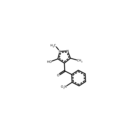 Cc1nn(C)c(O)c1C(=O)c1ccccc1[N+](=O)[O-]